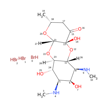 Br.Br.Br.CN[C@@H]1[C@H](O)[C@H](NC)[C@H]2O[C@@]3(O)C(=O)C[C@@H](C)O[C@H]3O[C@@H]2[C@H]1O